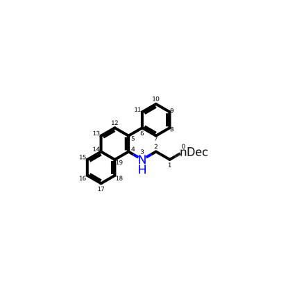 CCCCCCCCCCCCNc1c(-c2ccccc2)ccc2ccccc12